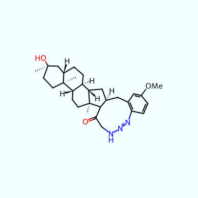 COc1ccc2c(c1)C[C@@H]1C[C@H]3[C@@H]4CC[C@H]5C[C@](C)(O)CC[C@]5(C)[C@H]4CC[C@]3(C)C1C(=O)CN/N=N\2